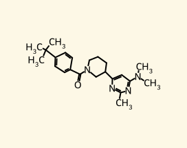 Cc1nc(C2CCCN(C(=O)c3ccc(C(C)(C)C)cc3)C2)cc(N(C)C)n1